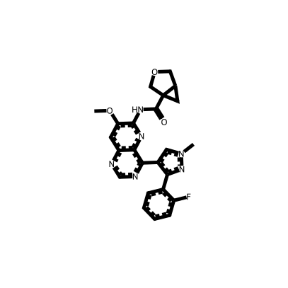 COc1cc2ncnc(-c3cn(C)nc3-c3ccccc3F)c2nc1NC(=O)C12COCC1C2